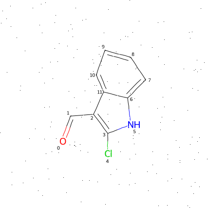 O=Cc1c(Cl)[nH]c2ccccc12